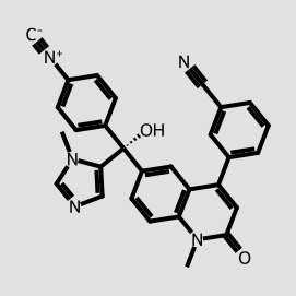 [C-]#[N+]c1ccc([C@@](O)(c2ccc3c(c2)c(-c2cccc(C#N)c2)cc(=O)n3C)c2cncn2C)cc1